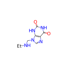 CCNCn1cnc2c(=O)[nH]c(=O)[nH]c21